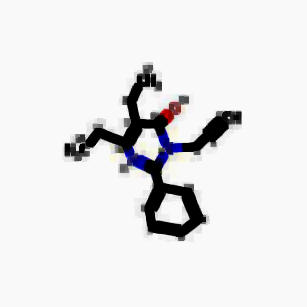 C#CCn1c(-c2ccccc2)nc(CC)c(CC)c1=O